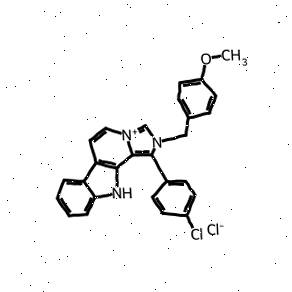 COc1ccc(Cn2c[n+]3ccc4c5ccccc5[nH]c4c3c2-c2ccc(Cl)cc2)cc1.[Cl-]